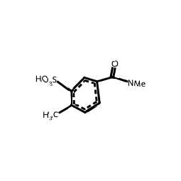 CNC(=O)c1ccc(C)c(S(=O)(=O)O)c1